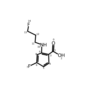 O=C(O)c1ccc(F)cc1NCCCF